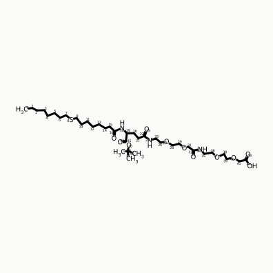 CCCCCCCCSCCCCCCCC(=O)NC(CCC(=O)NCCOCCOCC(=O)NCCOCCOCC(=O)O)C(=O)OC(C)(C)C